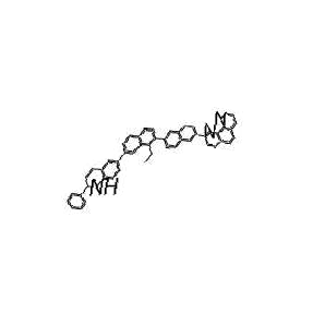 CCc1c(-c2ccc3cc(-c4ccc5ccc6cccnc6c5n4)ccc3c2)ccc2ccc(-c3ccc4c(c3)C=CC(c3ccccc3)N4)cc12